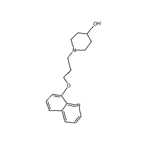 OC1CCN(CCCOc2cccc3cccnc23)CC1